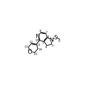 CSN1CCc2c1ccnc2C1=CCOCC1